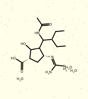 CCC(CC)C(NC(C)=O)C1C(O)[C@@H](C(=O)O)C[C@H]1N=C(N)N.O.O.O